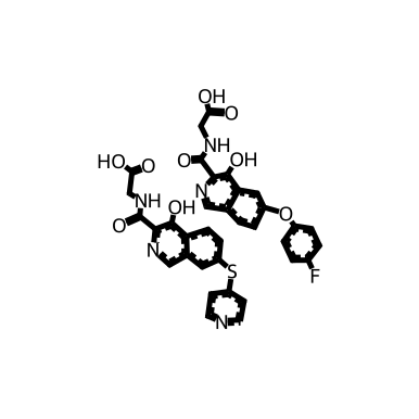 O=C(O)CNC(=O)c1ncc2cc(Sc3ccncc3)ccc2c1O.O=C(O)CNC(=O)c1ncc2ccc(Oc3ccc(F)cc3)cc2c1O